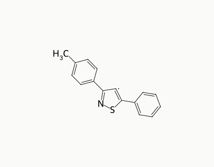 Cc1ccc(-c2[c]c(-c3ccccc3)sn2)cc1